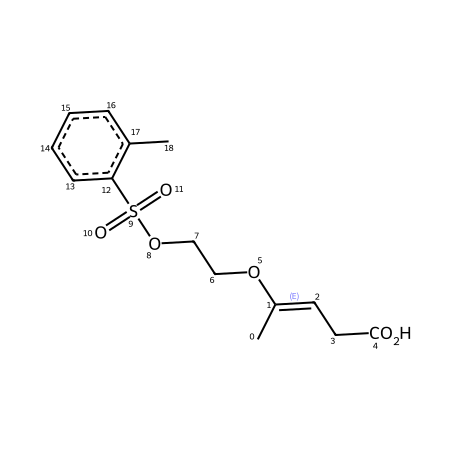 C/C(=C\CC(=O)O)OCCOS(=O)(=O)c1ccccc1C